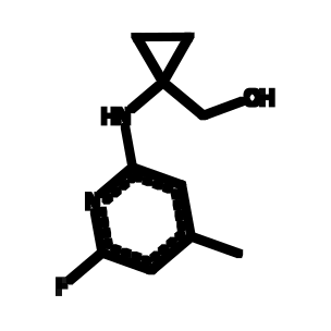 Cc1cc(F)nc(NC2(CO)CC2)c1